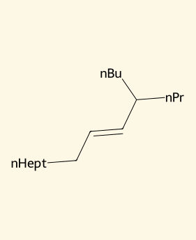 CCCCCCCC/C=C/C(CCC)CCCC